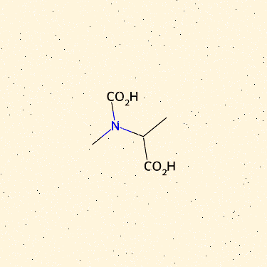 CC(C(=O)O)N(C)C(=O)O